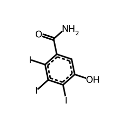 NC(=O)c1cc(O)c(I)c(I)c1I